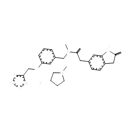 CN(C(=O)Cc1ccc2c(c1)NC(=O)C2)[C@H](CN1CC[C@H](O)C1)c1cccc(OCc2nn[nH]n2)c1